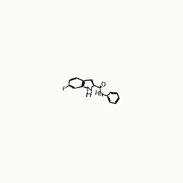 O=C(Nc1ccccc1)c1cc2ccc(F)cc2[nH]1